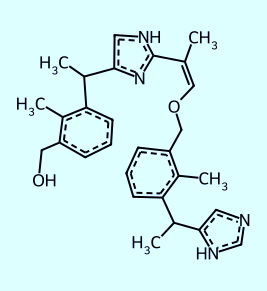 CC(=COCc1cccc(C(C)c2cnc[nH]2)c1C)c1nc(C(C)c2cccc(CO)c2C)c[nH]1